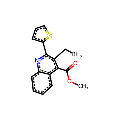 BCc1c(-c2cccs2)nc2ccccc2c1C(=O)OC